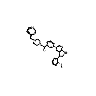 COc1ccccc1C1CNc2ncc(-c3cccc(C(=O)N4CCN(Cc5ccncc5)CC4)c3)cc21